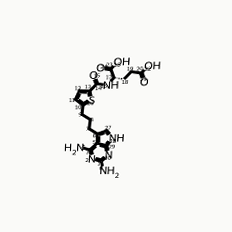 Nc1nc(N)c2c(CCCc3ccc(C(=O)N[C@@H](CCC(=O)O)C(=O)O)s3)c[nH]c2n1